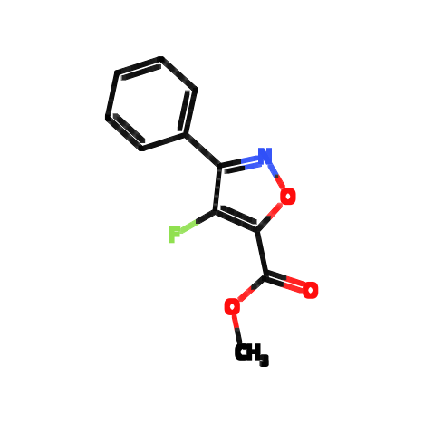 COC(=O)c1onc(-c2ccccc2)c1F